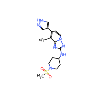 CCCc1c(-c2cn[nH]c2)ccn2nc(NC3CCN(S(C)(=O)=O)CC3)nc12